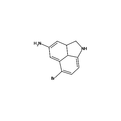 NC1=CC2CNC3=CC=C(Br)C(=C1)C32